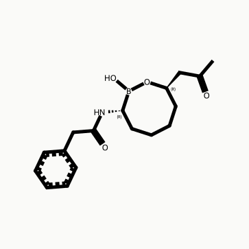 CC(=O)C[C@H]1CCCC[C@H](NC(=O)Cc2ccccc2)B(O)O1